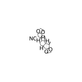 C=C1CC2(C[C@@H]3CC[C@H]4[C@@H]5[C@H](C#N)CC6(OCCO6)[C@@]5(C)CC[C@@H]4[C@@]13C)OCCO2